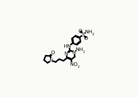 NN1CC([N+](=O)[O-])=C(CCCN2CCCC2=O)N=C1Nc1ccc(S(N)(=O)=O)cc1